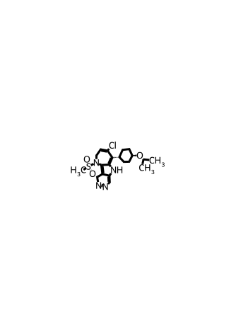 CC(C)O[C@H]1CC[C@H](C2=c3[nH]c4c(c3N(S(C)(=O)=O)CC=C2Cl)CN=NC=4)CC1